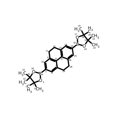 CC1(C)OB(c2cc3c4c(c2)CCc2cc(B5OC(C)(C)C(C)(C)O5)cc(c2-4)CC3)OC1(C)C